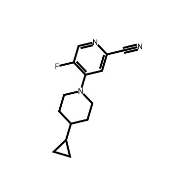 N#Cc1cc(N2CCC(C3CC3)CC2)c(F)cn1